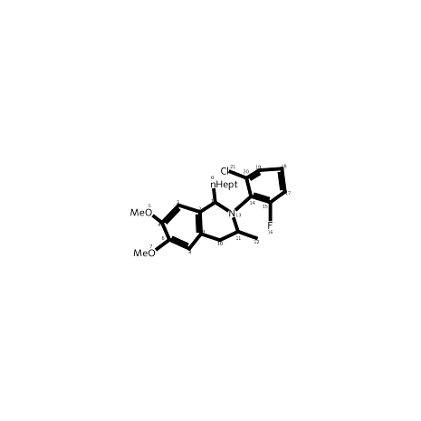 CCCCCCCC1c2cc(OC)c(OC)cc2CC(C)N1c1c(F)cccc1Cl